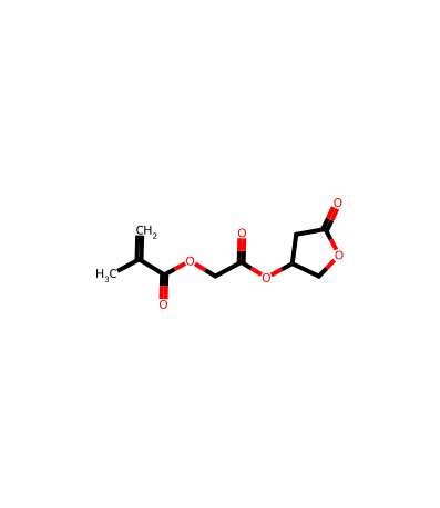 C=C(C)C(=O)OCC(=O)OC1COC(=O)C1